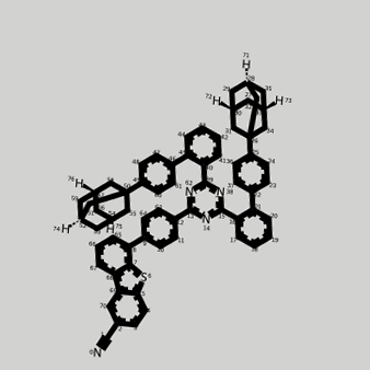 N#Cc1ccc2sc3c(-c4ccc(-c5nc(-c6ccccc6-c6ccc(C78C[C@H]9C[C@@H](C7)C[C@@H](C8)C9)cc6)nc(-c6ccccc6-c6ccc(C78C[C@H]9C[C@@H](C7)C[C@@H](C8)C9)cc6)n5)cc4)cccc3c2c1